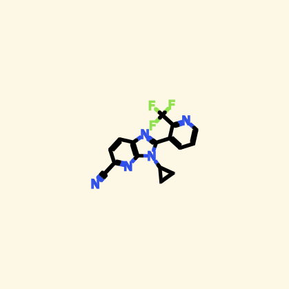 N#Cc1ccc2nc(-c3cccnc3C(F)(F)F)n(C3CC3)c2n1